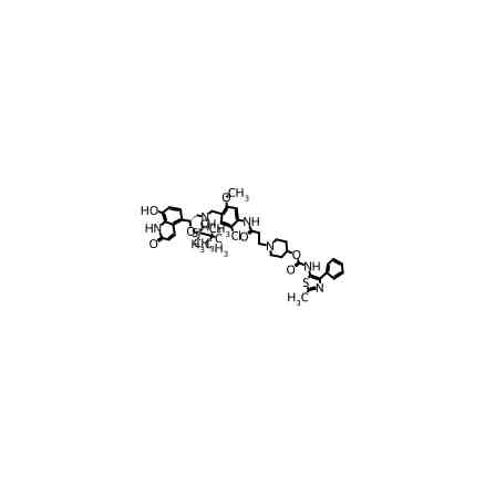 COc1cc(NC(=O)CCN2CCC(OC(=O)Nc3sc(C)nc3-c3ccccc3)CC2)c(Cl)cc1CNC[C@H](O[Si](C)(C)C(C)(C)C)c1ccc(O)c2[nH]c(=O)ccc12